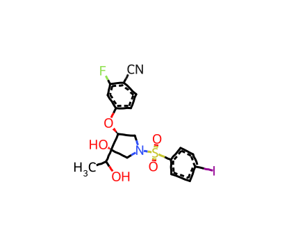 CC(O)[C@]1(O)CN(S(=O)(=O)c2ccc(I)cc2)C[C@@H]1Oc1ccc(C#N)c(F)c1